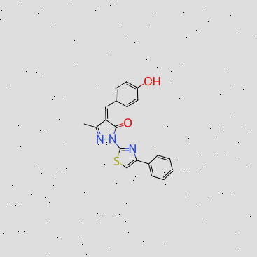 CC1=NN(c2nc(-c3ccccc3)cs2)C(=O)C1=Cc1ccc(O)cc1